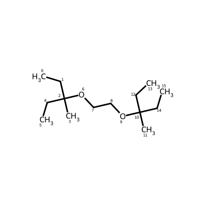 CCC(C)(CC)OCCOC(C)(CC)CC